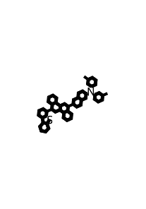 Cc1cccc(N(c2cccc(C)c2)c2ccc3cc(-c4cc5c6ccccc6c(-c6cccc7c6sc6ccccc67)cc5c5ccccc45)ccc3c2)c1